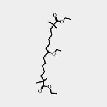 CCOC(=O)C(C)(C)CCCCCC(CCCCCC(C)(C)C(=O)OCC)OCC